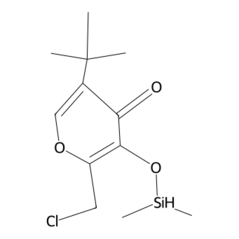 C[SiH](C)Oc1c(CCl)occ(C(C)(C)C)c1=O